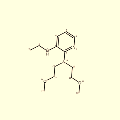 CCNc1cccnc1N(CCOC)CCOC